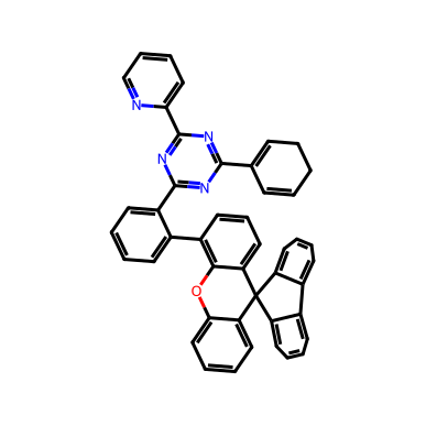 C1=CC(c2nc(-c3ccccn3)nc(-c3ccccc3-c3cccc4c3Oc3ccccc3C43c4ccccc4-c4ccccc43)n2)=CCC1